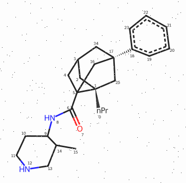 CCC[C@]12CC3CC1(C(=O)NC1CCNCC1C)C[C@@](c1ccccc1)(C3)C2